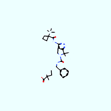 CC(C)(CC[C@H](NC(=O)N1Cc2c(NC(=O)C3([Si](C)(C)C)CCC3)n[nH]c2C1(C)C)c1ccccc1)C(=O)O